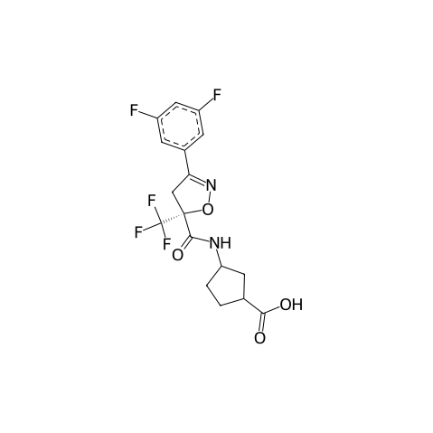 O=C(O)C1CCC(NC(=O)[C@@]2(C(F)(F)F)CC(c3cc(F)cc(F)c3)=NO2)C1